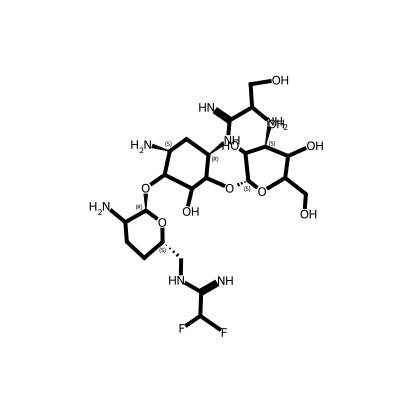 N=C(NC[C@@H]1CCC(N)[C@@H](OC2C(O)C(O[C@H]3OC(CO)C(O)[C@H](N)C3O)[C@H](NC(=N)C(O)CO)C[C@@H]2N)O1)C(F)F